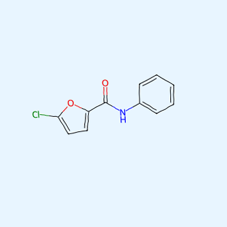 O=C(Nc1ccccc1)c1ccc(Cl)o1